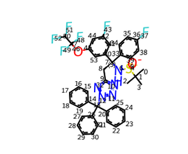 CC(C)(C)[S+]([O-])N[C@@](Cc1nnn(C(c2ccccc2)(c2ccccc2)c2ccccc2)n1)(c1ccc(F)cc1)c1cc(F)cc(OC(F)(F)C(F)F)c1